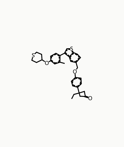 CCC1(c2ccc(OCc3ccc4scc(-c5ccc(OC6CCSCC6)cc5C)c4c3)cc2)CC(=O)C1